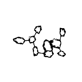 c1ccc(-c2cc(-c3cccc(-c4cccc5c4ccc4nc(-c6ccccc6)cc(-c6ccccc6)c45)c3)cc(-c3ccccc3)n2)cc1